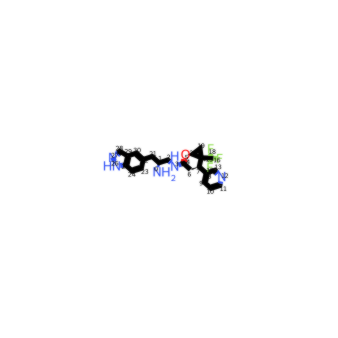 N[C@H](CNC(=O)C[C@@H](c1cccnc1)C1(C(F)(F)F)CC1)Cc1ccc2[nH]ncc2c1